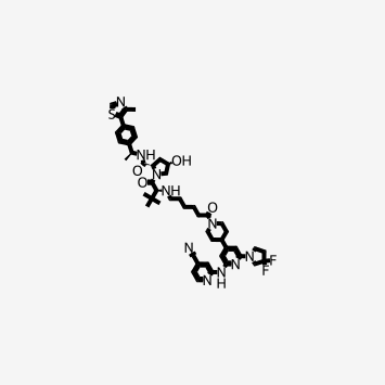 Cc1ncsc1-c1ccc([C@H](C)NC(=O)[C@@H]2C[C@@H](O)CN2C(=O)[C@@H](NCCCCCC(=O)N2CCC(c3cc(Nc4cc(C#N)ccn4)nc(N4CCC(F)(F)C4)c3)CC2)C(C)(C)C)cc1